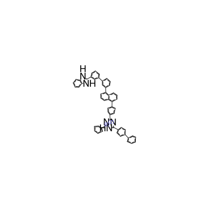 N=C(/N=C(\N=C\c1ccccc1)c1ccc(-c2cccc3c(-c4cccc(-c5cccc(C6Nc7ccccc7N6)c5)c4)cccc23)cc1)c1ccc(-c2ccccc2)cc1